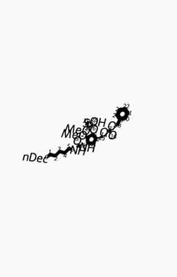 CCCCCCCCCCCCCCCNC(=O)N[C@H]1C[C@H](COC(=O)OCc2ccccc2)C(OP(O)(=S)OC)[C@@H]1OC